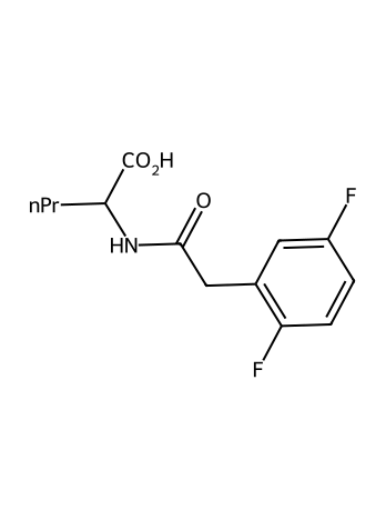 CCCC(NC(=O)Cc1cc(F)ccc1F)C(=O)O